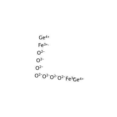 [Fe+3].[Fe+3].[Ge+4].[Ge+4].[O-2].[O-2].[O-2].[O-2].[O-2].[O-2].[O-2]